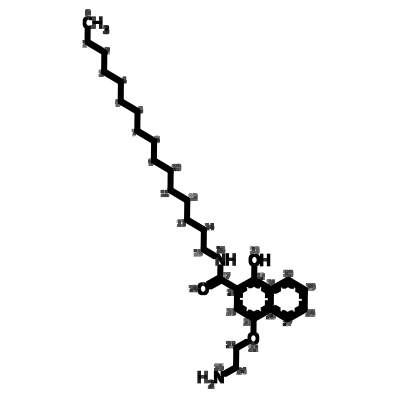 CCCCCCCCCCCCCCCCNC(=O)c1cc(OCCN)c2ccccc2c1O